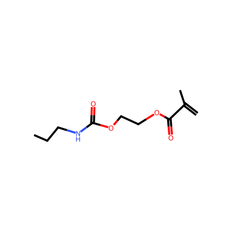 C=C(C)C(=O)OCCOC(=O)NCCC